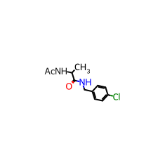 CC(=O)NC(C)C(=O)NCc1ccc(Cl)cc1